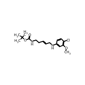 COc1cc(NCC=CCCNC(=O)OC(C)(C)C)ccc1Cl